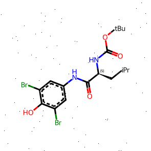 CC(C)C[C@H](NC(=O)OC(C)(C)C)C(=O)Nc1cc(Br)c(O)c(Br)c1